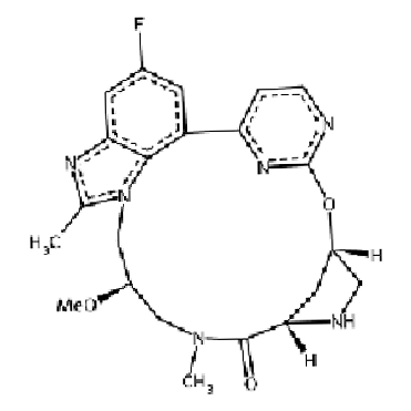 CO[C@@H]1CN(C)C(=O)[C@@H]2C[C@@H](CN2)Oc2nccc(n2)-c2cc(F)cc3nc(C)n(c23)C1